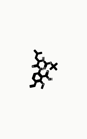 C=Cc1ccc(NC(=O)C(CC(C)C)NC(=O)OC(C)(C)C)c(C(=O)O)c1OC